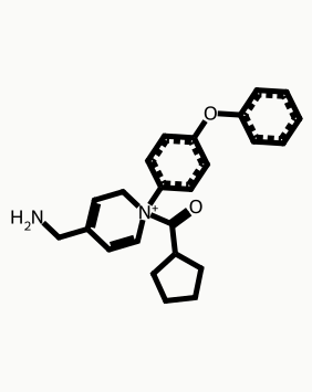 NCC1=CC[N+](C(=O)C2CCCC2)(c2ccc(Oc3ccccc3)cc2)C=C1